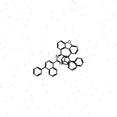 c1ccc(-c2ccccc2-c2cccc3oc4cccc(C5=NC(c6ccc(-c7ccccc7)c7ccccc67)=NC(c6ccccc6)N5)c4c23)cc1